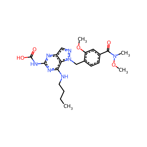 CCCCNc1nc(NC(=O)O)nc2cnn(Cc3ccc(C(=O)N(C)OC)cc3OC)c12